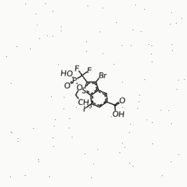 CCOP(=O)(O)C(F)(F)c1sc2c(I)cc(C(=O)O)cc2c1Br